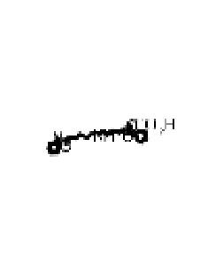 O=C(O)c1ccccc1S(=O)(=O)CCCCCNCCCCCc1nc2ccccc2o1